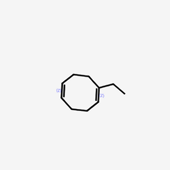 CC/C1=C/CC/C=C\CC1